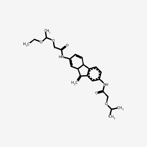 C=C1c2cc(NC(=O)COC(C)C)ccc2C2C=CC(NC(=O)COC(C)OCC)=CC12